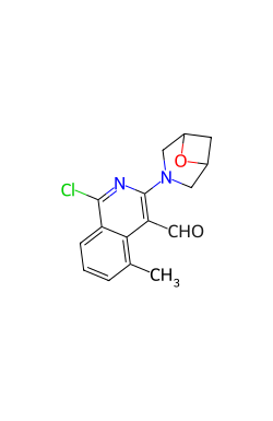 Cc1cccc2c(Cl)nc(N3CC4CC(C3)O4)c(C=O)c12